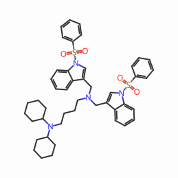 O=S(=O)(c1ccccc1)n1cc(CN(CCCCN(C2CCCCC2)C2CCCCC2)Cc2cn(S(=O)(=O)c3ccccc3)c3ccccc23)c2ccccc21